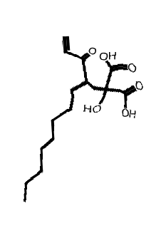 C=CC(=O)C(CCCCCCCC)C(O)(C(=O)O)C(=O)O